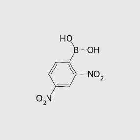 O=[N+]([O-])c1ccc(B(O)O)c([N+](=O)[O-])c1